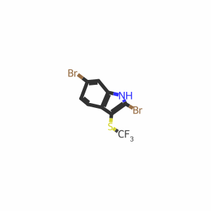 FC(F)(F)Sc1c(Br)[nH]c2cc(Br)ccc12